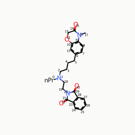 CCCN(CCCCc1ccc2c(c1)OCC(=O)N2C)CCN1C(=O)c2ccccc2C1=O